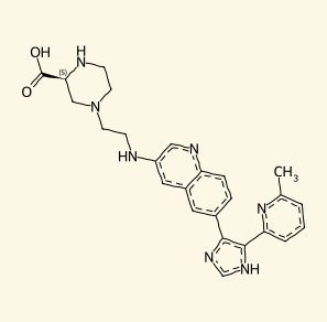 Cc1cccc(-c2[nH]cnc2-c2ccc3ncc(NCCN4CCN[C@H](C(=O)O)C4)cc3c2)n1